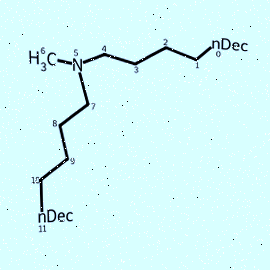 CCCCCCCCCCCCCCN(C)CCCCCCCCCCCCCC